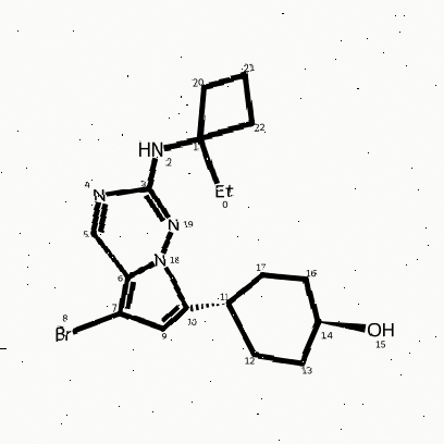 CCC1(Nc2ncc3c(Br)cc([C@H]4CC[C@H](O)CC4)n3n2)CCC1